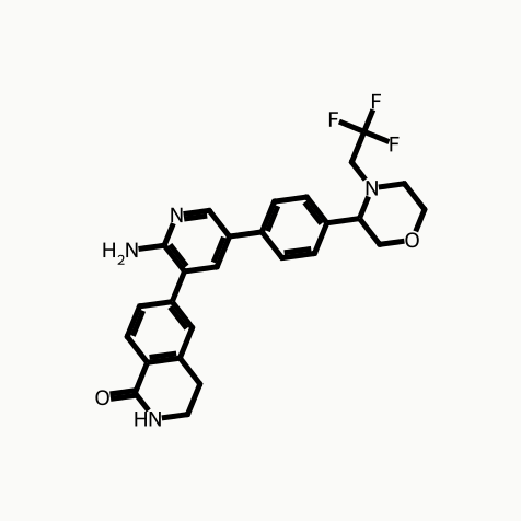 Nc1ncc(-c2ccc(C3COCCN3CC(F)(F)F)cc2)cc1-c1ccc2c(c1)CCNC2=O